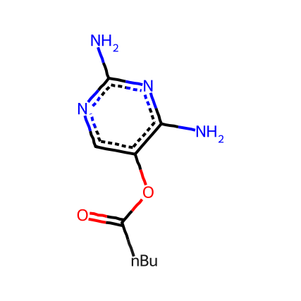 CCCCC(=O)Oc1cnc(N)nc1N